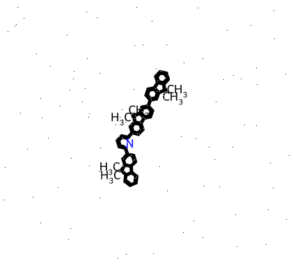 CC1(C)c2ccccc2-c2ccc(-c3ccc4c(c3)C(C)(C)c3cc(-c5cccc(C6=CC7C(C=C6)C6C=CC=CC6C7(C)C)n5)ccc3-4)cc21